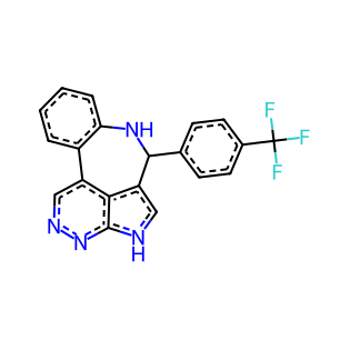 FC(F)(F)c1ccc(C2Nc3ccccc3-c3cnnc4[nH]cc2c34)cc1